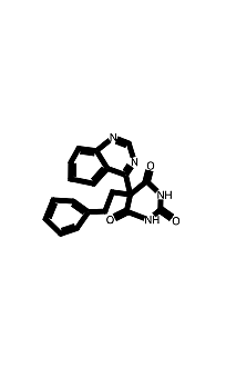 O=C1NC(=O)C(CCc2ccccc2)(c2ncnc3ccccc23)C(=O)N1